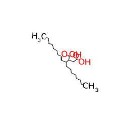 CCCCCCCC=CC(CCCCCCCC)C(CC(=O)O)C(=O)O